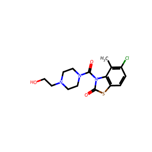 Cc1c(Cl)ccc2sc(=O)n(C(=O)N3CCN(CCO)CC3)c12